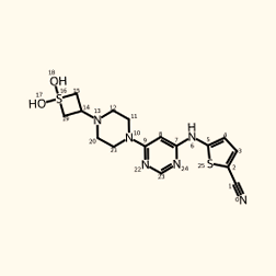 N#Cc1ccc(Nc2cc(N3CCN(C4CS(O)(O)C4)CC3)ncn2)s1